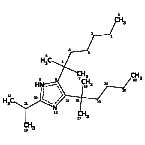 CCCCCC(C)(C)c1[nH]c(C(C)C)nc1C(C)(C)CCCC